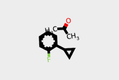 CC(C)=O.Fc1ccccc1C1CC1